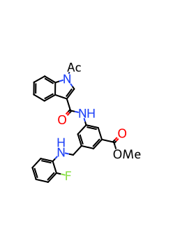 COC(=O)c1cc(CNc2ccccc2F)cc(NC(=O)c2cn(C(C)=O)c3ccccc23)c1